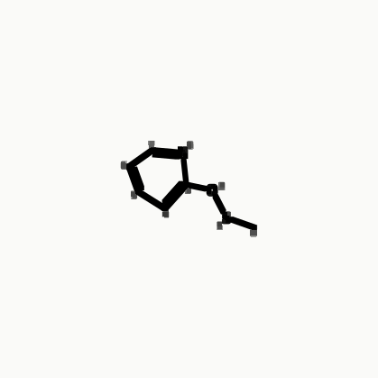 CSOc1ccccn1